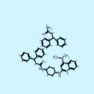 CN(C)c1cc(NC2CCC(NC(=O)CC(c3ccccc3)c3ccccc3)CC2)nc2ccccc12.NC(=O)CC(c1ccccc1)c1ccccc1